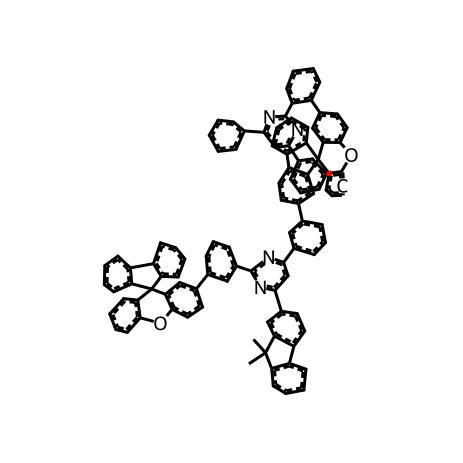 CC1(C)c2ccccc2-c2ccc(-c3cc(-c4cccc(-c5ccc6c(c5)C5(c7ccccc7Oc7ccc(-c8ccccc8-c8nc(-c9ccccc9)cc(-c9ccccc9)n8)cc75)c5ccccc5-6)c4)nc(-c4cccc(-c5ccc6c(c5)C5(c7ccccc7O6)c6ccccc6-c6ccccc65)c4)n3)cc21